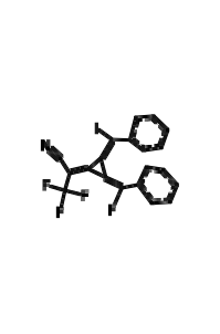 N#C/C(=C1/C(=C(F)c2ccccc2)/C1=C(/I)c1ccccc1)C(F)(F)F